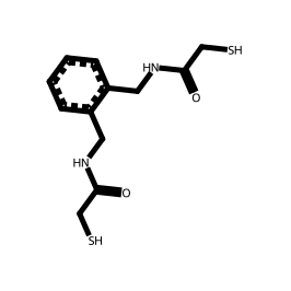 O=C(CS)NCc1ccccc1CNC(=O)CS